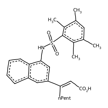 CCCCCC(=CC(=O)O)c1cc(NS(=O)(=O)c2c(C)c(C)cc(C)c2C)c2ccccc2c1